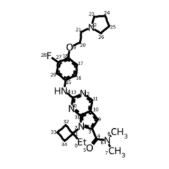 CCC1(n2c(C(=O)N(C)C)cc3cnc(Nc4ccc(OCCN5CCCC5)c(F)c4)nc32)CCC1